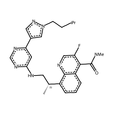 CNC(=O)c1c(F)cnc2c([C@H](C)CNc3cc(-c4cnn(CCC(C)C)c4)ncn3)cccc12